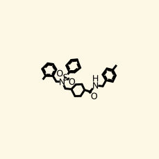 Cc1ccc(CNC(=O)C2CCC(CN(Cc3ccccc3C)S(=O)(=O)c3ccccc3)CC2)cc1